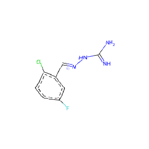 N=C(N)N/N=C/c1cc(F)ccc1Cl